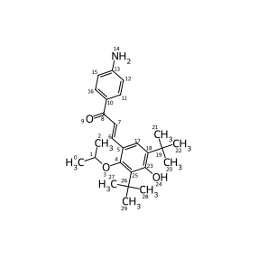 CC(C)Oc1c(/C=C/C(=O)c2ccc(N)cc2)cc(C(C)(C)C)c(O)c1C(C)(C)C